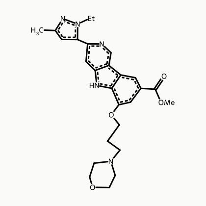 CCn1nc(C)cc1-c1cc2[nH]c3c(OCCCN4CCOCC4)cc(C(=O)OC)cc3c2cn1